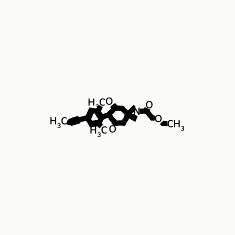 CC#Cc1cc(C)c(C2C(=O)CC3(CC2=O)CN(C(=O)COCC)C3)c(C)c1